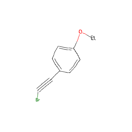 CCOc1ccc(C#CBr)cc1